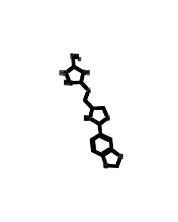 NC1NNC(SCC2CSC(c3ccc4c(c3)OCO4)N2)N1